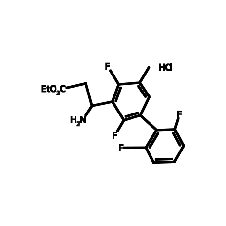 CCOC(=O)CC(N)c1c(F)c(C)cc(-c2c(F)cccc2F)c1F.Cl